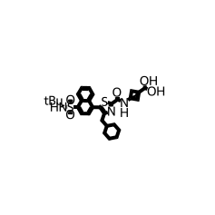 CC(C)(C)NS(=O)(=O)c1ccc(-c2sc(C(=O)NC34CC(C(O)O)(C3)C4)nc2CC2CCCCC2)c2ccccc12